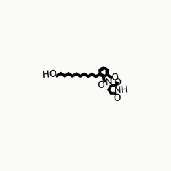 O=C1CCC(N2C(=O)c3cccc(CCCCCCCCCCCO)c3C2=O)C(=O)N1